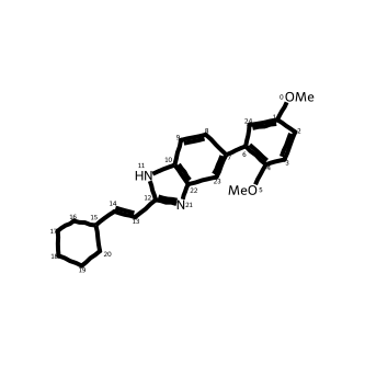 COc1ccc(OC)c(-c2ccc3[nH]c(C=CC4CCCCC4)nc3c2)c1